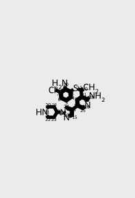 C=C(Sc1cccc(Cl)c1N)c1cc(-c2cnn(C3CCNCC3)c2)cnc1N